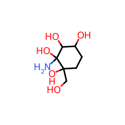 NC1(O)C(O)C(O)CCC1(O)CO